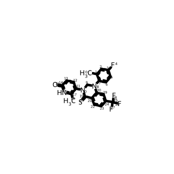 Cc1cc(F)ccc1N1CN(c2ccc(=O)[nH]c2C)C(=S)c2ccc(C(F)(F)F)cc21